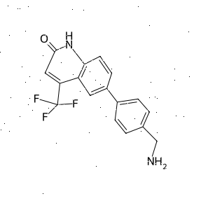 NCc1ccc(-c2ccc3[nH]c(=O)cc(C(F)(F)F)c3c2)cc1